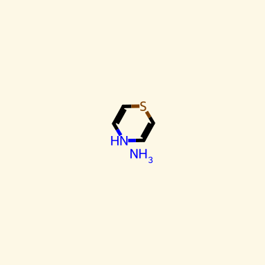 C1=CSC=CN1.N